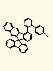 Clc1ccc(-c2ccccc2-c2cccc3c2-c2cc4ccccc4cc2C32c3ccccc3-c3ccccc32)cc1